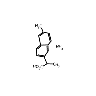 Cc1ccc2cc(C(C)C(=O)O)ccc2c1.N